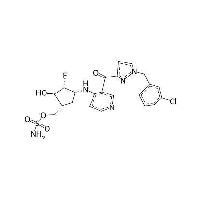 NS(=O)(=O)OC[C@H]1C[C@@H](Nc2ccncc2C(=O)c2ccn(Cc3cccc(Cl)c3)n2)[C@@H](F)[C@@H]1O